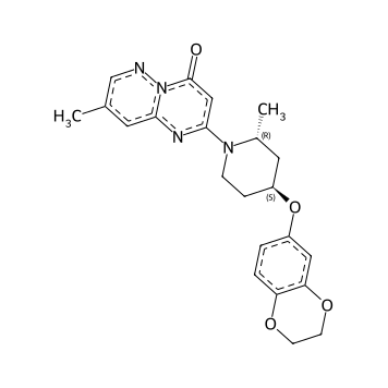 Cc1cnn2c(=O)cc(N3CC[C@H](Oc4ccc5c(c4)OCCO5)C[C@H]3C)nc2c1